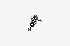 CCC[C@H]1COC(=O)C1S(=O)(=O)c1ccc(C#N)cc1